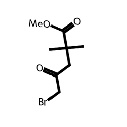 COC(=O)C(C)(C)CC(=O)CBr